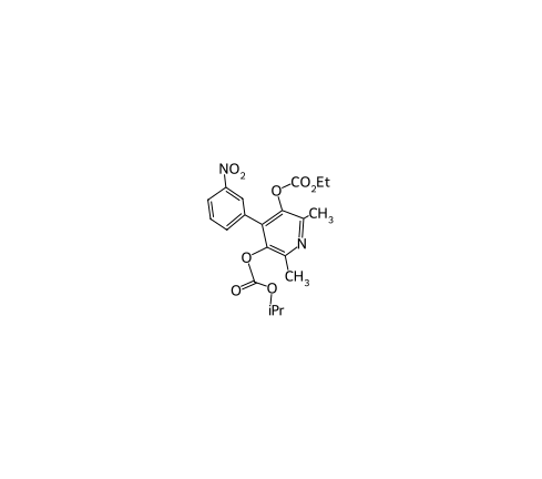 CCOC(=O)Oc1c(C)nc(C)c(OC(=O)OC(C)C)c1-c1cccc([N+](=O)[O-])c1